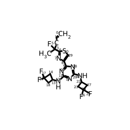 C=CCC(C)(F)c1nc(-c2nc(NC3CC(F)(F)C3)nc(NC3CC(F)(F)C3)n2)cs1